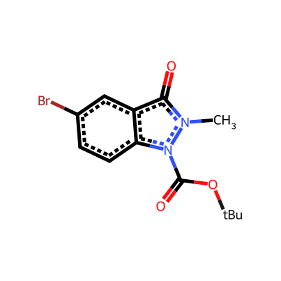 Cn1c(=O)c2cc(Br)ccc2n1C(=O)OC(C)(C)C